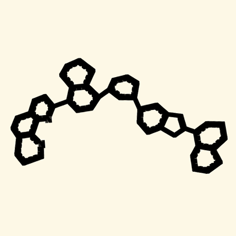 C1=C(c2cccc3ccccc23)Cc2ccc(-c3cccc(-c4ccc(-c5ccc6ccc7cccnc7c6n5)c5ccccc45)c3)cc21